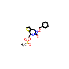 CS(=O)(=O)OCC1c2sccc2C2CN1C(=O)N2OCc1ccccc1